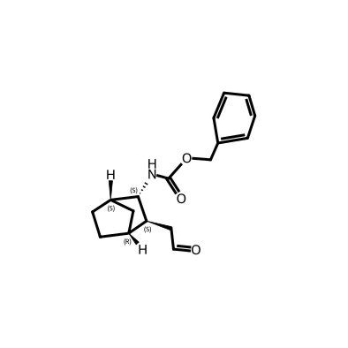 O=CC[C@H]1[C@@H]2CC[C@@H](C2)[C@@H]1NC(=O)OCc1ccccc1